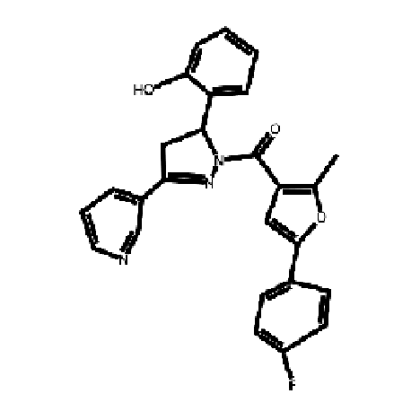 Cc1oc(-c2ccc(F)cc2)cc1C(=O)N1N=C(c2cccnc2)CC1c1ccccc1O